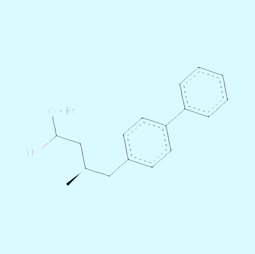 CCOC(=O)C(O)C[C@H](C)Cc1ccc(-c2ccccc2)cc1